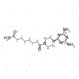 BC(=O)CCCCCCC(=O)N1CCN(c2nc(N)nc(N)n2)CC1